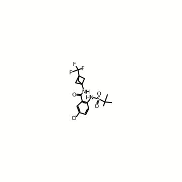 CC(C)(C)S(=O)(=O)Nc1ccc(Cl)cc1C(=O)NC12CC(C(F)(F)F)(C1)C2